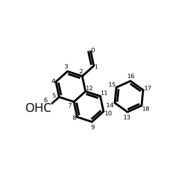 C=Cc1ccc(C=O)c2ccccc12.c1ccccc1